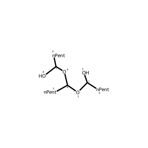 CCCCCC(O)OC(CCCCC)OC(O)CCCCC